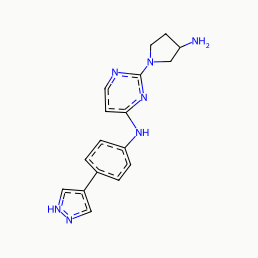 NC1CCN(c2nccc(Nc3ccc(-c4cn[nH]c4)cc3)n2)C1